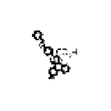 CC1(C)CCC2=C(C1)c1ccccc1C(=N[C@@H](Cc1ccc(OCc3ccccc3)cc1)C(=O)O)C2=O